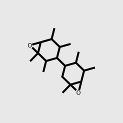 CC1C(C)C2OC2(C)CC1C1C(C)C(C)C2OC2(C)C1C